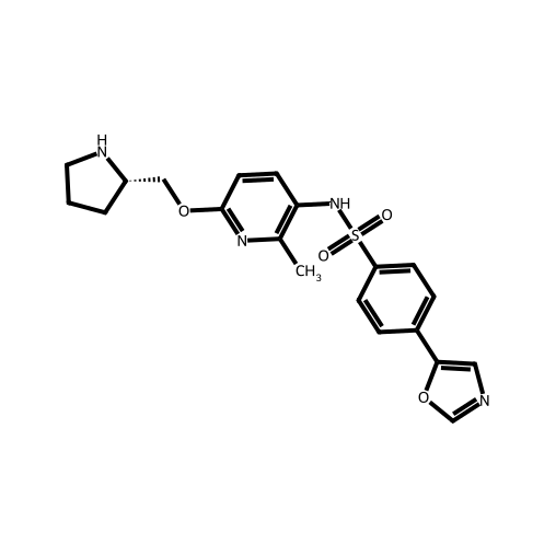 Cc1nc(OC[C@@H]2CCCN2)ccc1NS(=O)(=O)c1ccc(-c2cnco2)cc1